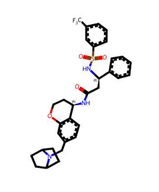 O=C(C[C@@H](NS(=O)(=O)c1cccc(C(F)(F)F)c1)c1ccccc1)N[C@@H]1CCOc2cc(CN3C4CCC3CC4)ccc21